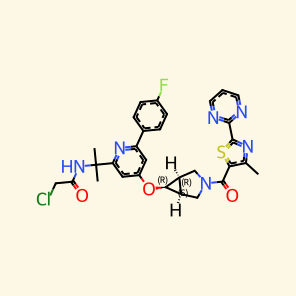 Cc1nc(-c2ncccn2)sc1C(=O)N1C[C@@H]2[C@H](C1)[C@@H]2Oc1cc(-c2ccc(F)cc2)nc(C(C)(C)NC(=O)CCl)c1